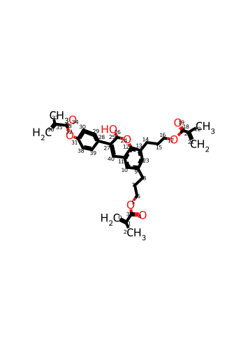 C=C(C)C(=O)OCCCc1cc2c(c(CCCOC(=O)C(=C)C)c1)OC(O)C(C1=C=C=C(OC(=O)C(=C)C)C=C1)=C2